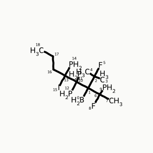 BC(C(C)(C)F)(C(C)(F)P)C(P)(P)C(P)(I)CCC